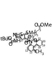 COC(=O)CCCCC(=O)N(c1cccc(C)c1-c1ccccc1)S(=O)(=O)c1cc(C(=N)NC(=O)OC(C)(C)C)sc1SC